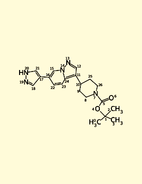 CC(C)(C)OC(=O)N1CCC(c2cnn3cc(-c4cn[nH]c4)ccc23)CC1